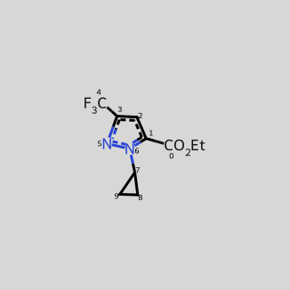 CCOC(=O)c1cc(C(F)(F)F)nn1C1CC1